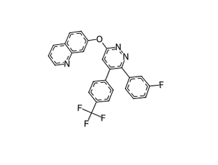 Fc1cccc(-c2nnc(Oc3ccc4cccnc4c3)cc2-c2ccc(C(F)(F)F)cc2)c1